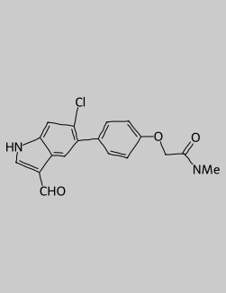 CNC(=O)COc1ccc(-c2cc3c(C=O)c[nH]c3cc2Cl)cc1